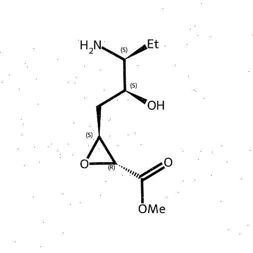 CC[C@H](N)[C@@H](O)C[C@@H]1O[C@H]1C(=O)OC